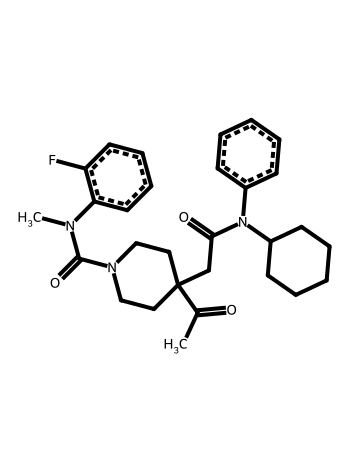 CC(=O)C1(CC(=O)N(c2ccccc2)C2CCCCC2)CCN(C(=O)N(C)c2ccccc2F)CC1